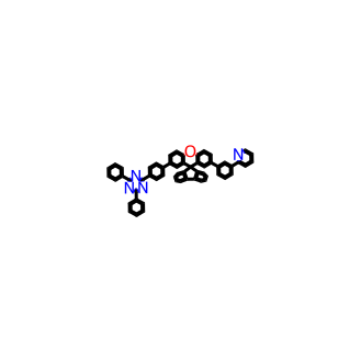 c1ccc(-c2nc(-c3ccccc3)nc(-c3ccc(-c4ccc5c(c4)C4(c6cc(-c7cccc(-c8ccccn8)c7)ccc6O5)c5ccccc5-c5ccccc54)cc3)n2)cc1